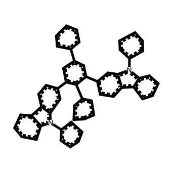 c1ccc(-c2cc(-c3ccc4c5ccccc5n(-c5ccccc5)c4c3)c(-c3ccccc3)c(-c3ccc4c5ccccc5n(-c5ccccc5)c4c3)c2)cc1